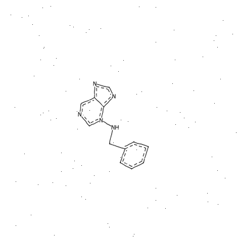 c1ccc(CNn2cncc3ncnc2-3)cc1